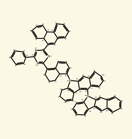 C1=CC2=C(c3nc(C4=Cc5ccccc5C5C=CC=CC45)nc(-c4ccccc4)n3)CCCC2C(n2c3c(c4c(-n5c6ccccc6c6cc7ccccc7cc65)c5ccccc5cc42)C=CCC3)=C1